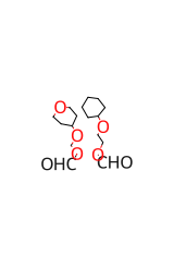 O=COCCOC1CCCCC1.O=COCOC1CCOCC1